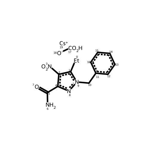 CCc1c([N+](=O)[O-])c(C(N)=O)nn1Cc1ccccc1.O=C([O-])O.[Cs+]